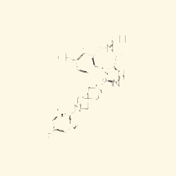 CN1Cc2cc(Cl)ccc2-n2c(nnc2N2CC3(CN(c4ncc(F)cn4)C3)C2)C1